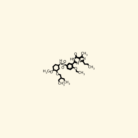 CCCc1nc(C)c2c(=O)[nH]c(-c3cc(S(=O)(=O)NC4CCC(OC)C(OCC(CC)CC)C4)ccc3OCC)nn12